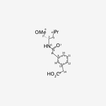 COC[C@H](CC(C)C)NC(=O)Cc1cccc(CC(=O)O)c1